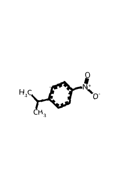 CC(C)c1[c]cc([N+](=O)[O-])cc1